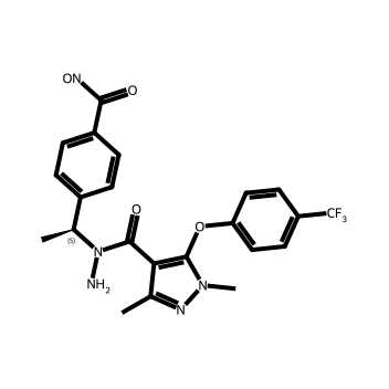 Cc1nn(C)c(Oc2ccc(C(F)(F)F)cc2)c1C(=O)N(N)[C@@H](C)c1ccc(C(=O)N=O)cc1